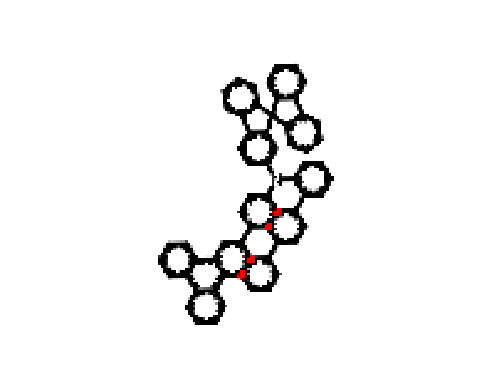 c1ccc(-c2ccc(-c3ccccc3N(c3ccc(-c4ccc5c6ccccc6c6ccccc6c5c4)cc3)c3ccc4c(c3)C3(c5ccccc5-c5ccccc53)c3ccccc3-4)cc2)cc1